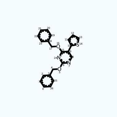 c1ccc(COc2ncc(-c3cccs3)c(OCc3ccccc3)n2)cc1